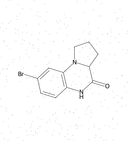 O=C1Nc2ccc(Br)cc2N2CCCC12